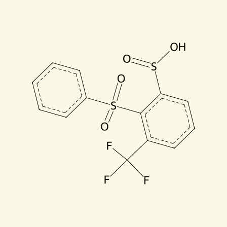 O=S(O)c1cccc(C(F)(F)F)c1S(=O)(=O)c1ccccc1